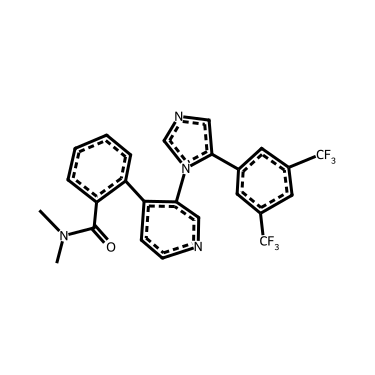 CN(C)C(=O)c1ccccc1-c1ccncc1-n1cncc1-c1cc(C(F)(F)F)cc(C(F)(F)F)c1